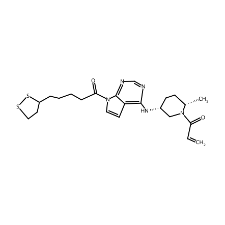 C=CC(=O)N1C[C@H](Nc2ncnc3c2ccn3C(=O)CCCCC2CCSS2)CC[C@@H]1C